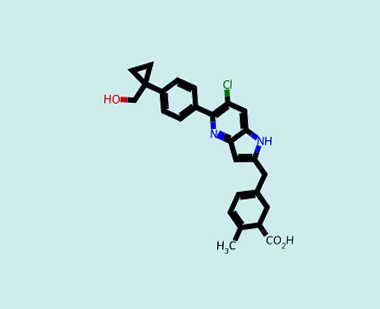 CC1=CC=C(Cc2cc3nc(-c4ccc(C5(CO)CC5)cc4)c(Cl)cc3[nH]2)CC1C(=O)O